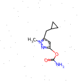 Cn1nc(OC(N)=O)cc1CC1CC1